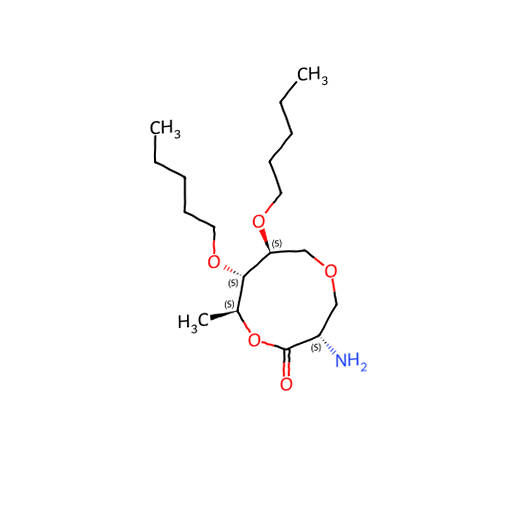 CCCCCO[C@H]1[C@H](C)OC(=O)[C@@H](N)COC[C@@H]1OCCCCC